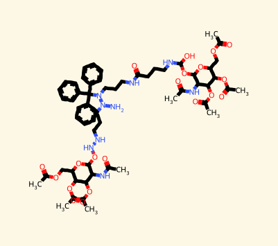 CC(=O)NC1C(ONNCCCN(N)N(CCCNC(=O)CCCNC(O)OC2OC(COC(C)=O)C(OC(C)=O)C(OC(C)=O)C2NC(C)=O)C(c2ccccc2)(c2ccccc2)c2ccccc2)OC(COC(C)=O)C(OC(C)=O)C1OC(C)=O